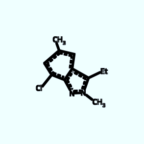 CCc1c2cc(C)cc(Cl)c2nn1C